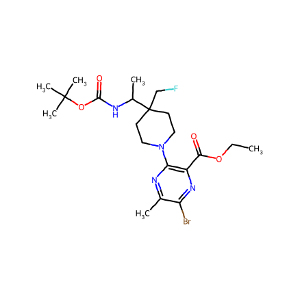 CCOC(=O)c1nc(Br)c(C)nc1N1CCC(CF)(C(C)NC(=O)OC(C)(C)C)CC1